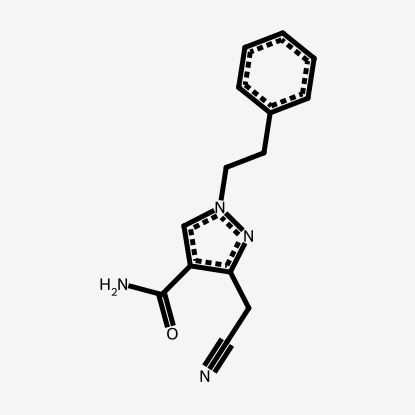 N#CCc1nn(CCc2ccccc2)cc1C(N)=O